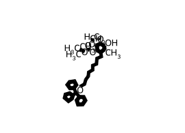 COc1c(O)c(C)c(CCCCCCCCCCOC(c2ccccc2)(c2ccccc2)c2ccccc2)c(OC(=O)OC(C)(C)C)c1OC